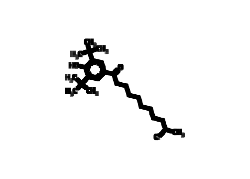 CC(Cl)CCCCCCCCC(=O)c1cc(C(C)(C)C)c(O)c(C(C)(C)C)c1